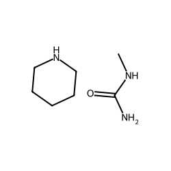 C1CCNCC1.CNC(N)=O